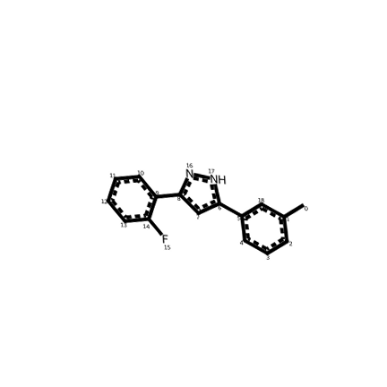 Cc1cccc(-c2cc(-c3ccccc3F)n[nH]2)c1